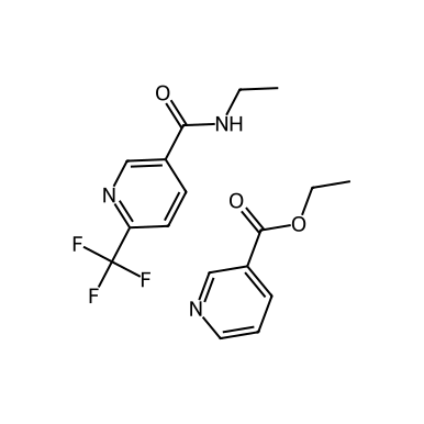 CCNC(=O)c1ccc(C(F)(F)F)nc1.CCOC(=O)c1cccnc1